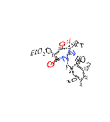 CCOC(=O)c1c(O)c(C(C)C)nn(Cc2ccccc2[N+](=O)[O-])c1=O